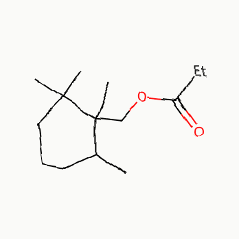 CCC(=O)OCC1(C)C(C)CCCC1(C)C